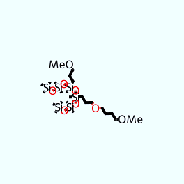 COCCCCOCCC[Si](C)(O[Si](C)(C)O[Si](C)(C)C)O[Si](C)(CCCOC)O[Si](C)(C)O[Si](C)(C)C